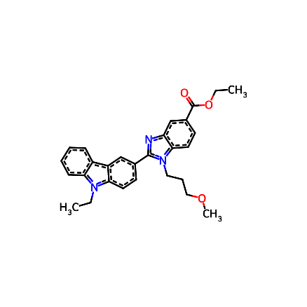 CCOC(=O)c1ccc2c(c1)nc(-c1ccc3c(c1)c1ccccc1n3CC)n2CCCOC